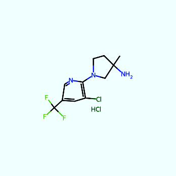 CC1(N)CCN(c2ncc(C(F)(F)F)cc2Cl)C1.Cl